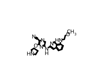 COCCNc1cccc2cc(Nc3cnc(C#N)c(O[C@@H]4CCNC4)n3)ncc12